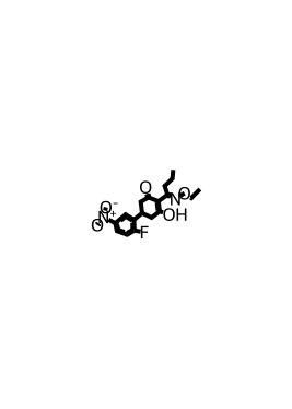 CCC/C(=N\OCC)C1=C(O)CC(c2cc([N+](=O)[O-])ccc2F)CC1=O